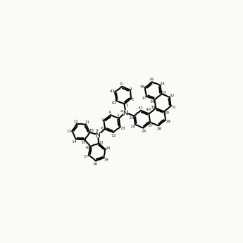 c1ccc(N(c2ccc(-n3c4ccccc4c4ccccc43)cc2)c2ccc3ccc4ccc5ccccc5c4c3c2)cc1